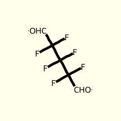 O=[C]C(F)(F)C(F)(F)C(F)(F)[C]=O